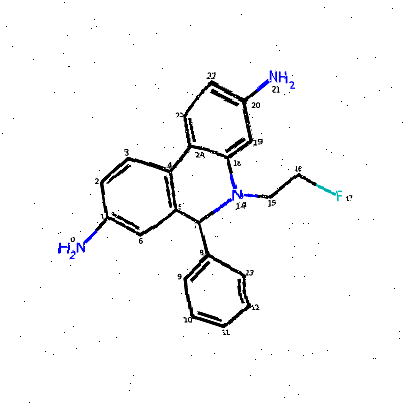 Nc1ccc2c(c1)C(c1ccccc1)N(CCF)c1cc(N)ccc1-2